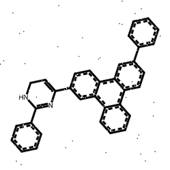 C1=C(c2ccc3c(c2)c2ccccc2c2ccc(-c4ccccc4)cc23)N=C(c2ccccc2)NC1